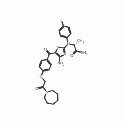 C[C@H](C(N)=O)N(c1ccc(F)cc1)c1nc(N)c(C(=O)c2ccc(OCC(=O)N3CCCCCC3)cc2)s1